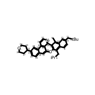 Cc1c2c(c(CC(C)C)c3ccc(CC(C)(C)C)cc13)Oc1cc3ccc(C4CCOCC4)cc3c3ccnc-2c13